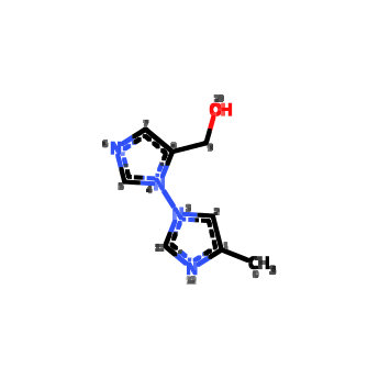 Cc1cn(-n2cncc2CO)cn1